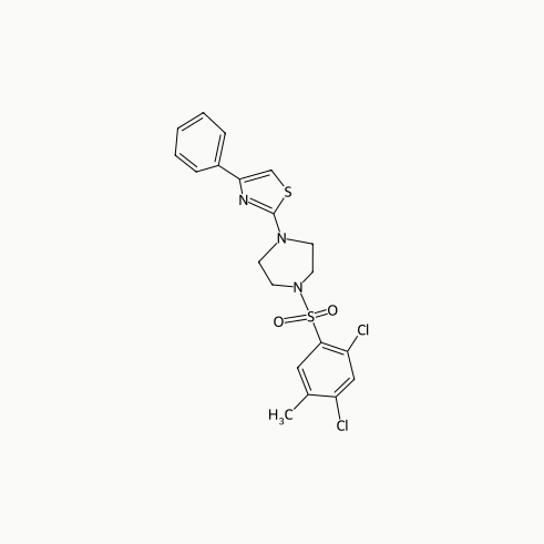 Cc1cc(S(=O)(=O)N2CCN(c3nc(-c4ccccc4)cs3)CC2)c(Cl)cc1Cl